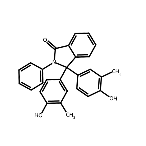 Cc1cc(C2(c3ccc(O)c(C)c3)c3ccccc3C(=O)N2c2ccccc2)ccc1O